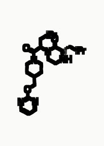 CC(C)CC(C(=O)N1CCC(COc2ncccn2)CC1)N1CCN[C@@H](CC(C)C)C1=O